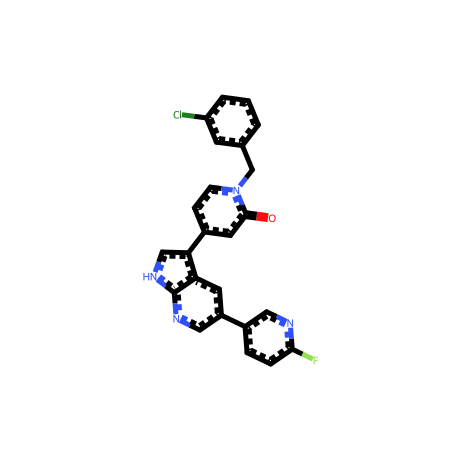 O=c1cc(-c2c[nH]c3ncc(-c4ccc(F)nc4)cc23)ccn1Cc1cccc(Cl)c1